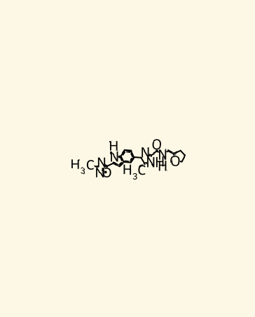 Cc1noc(-c2cc3cc(C4N=C(C(=O)NCC5CCCO5)NC4C)ccc3[nH]2)n1